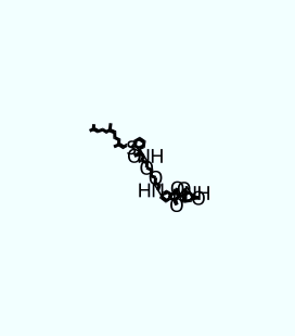 CC(C)=CCCC(C)=CCCC(C)=CCSc1ccccc1C(=O)NCCOCCOCCNc1ccc2c(c1)C(=O)N(C1CCC(=O)NC1=O)C2=O